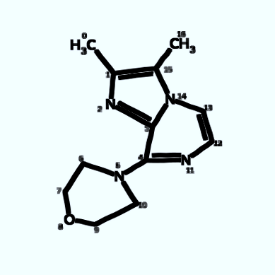 Cc1nc2c(N3CCOCC3)nccn2c1C